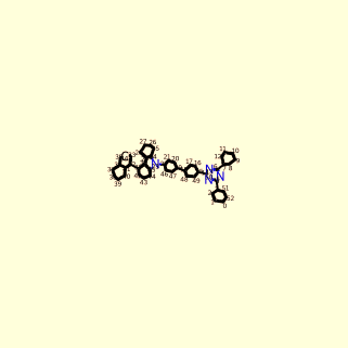 c1ccc(-c2nc(-c3ccccc3)nc(-c3ccc(-c4ccc(-n5c6ccccc6c6c(-c7cccc8ccccc78)cccc65)cc4)cc3)n2)cc1